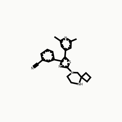 Cc1cc(-c2sc(N3CCNC4(CCC4)C3)nc2-c2cccc(C#N)c2)cc(C)n1